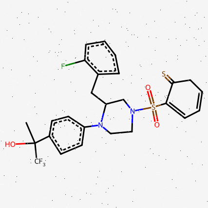 CC(O)(c1ccc(N2CCN(S(=O)(=O)C3=CC=CCC3=S)CC2Cc2ccccc2F)cc1)C(F)(F)F